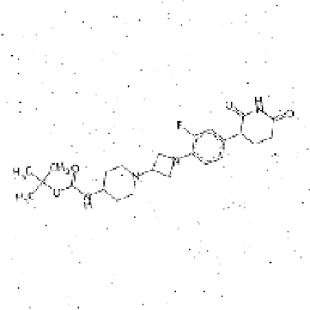 CC(C)(C)OC(=O)NC1CCN(C2CN(c3ccc(C4CCC(=O)NC4=O)cc3F)C2)CC1